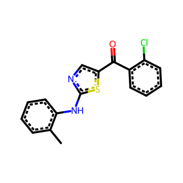 Cc1ccccc1Nc1ncc(C(=O)c2ccccc2Cl)s1